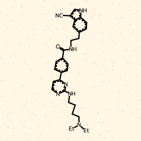 CCN(CC)CCCCNc1nccc(-c2ccc(C(=O)NCCc3ccc4[nH]cc(C#N)c4c3)cc2)n1